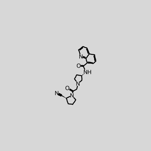 N#C[C@@H]1CCCN1C(=O)CN1CC[C@H](NC(=O)c2cccc3cccnc23)C1